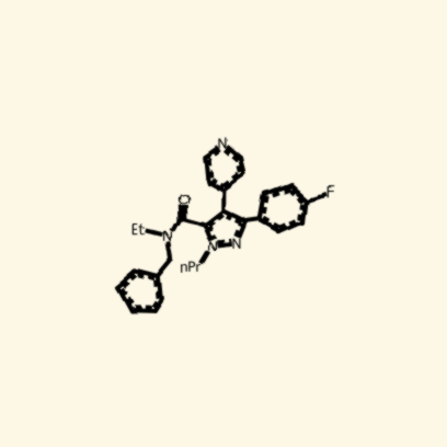 CCCn1nc(-c2ccc(F)cc2)c(-c2ccncc2)c1C(=O)N(CC)Cc1ccccc1